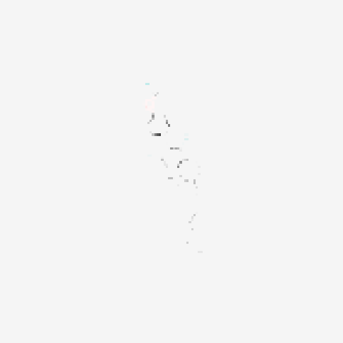 CCC/C=C/[C@@H]1CC[C@@H]2c3cc(F)c(-c4ccc(OC(F)(F)F)c(F)c4)c(F)c3CC[C@@H]2C1